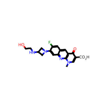 Cn1cc(C(=O)O)c(=O)c2cc3cc(F)c(N4CC(NCCO)C4)cc3nc21